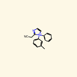 Cc1cccc([N+]2(c3ccccc3)C=CN=C2CC#N)c1